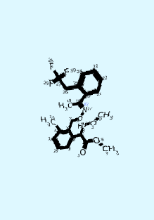 CONC(C(=O)OC)c1cccc(C)c1CO/N=C(\C)c1ccccc1CC(F)(F)F